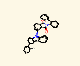 N#Cc1ccccc1-c1ccc2c(c1)c1ccccc1n2-c1cccc2c1C(=O)N(c1ccccc1-c1ccccc1)C2O